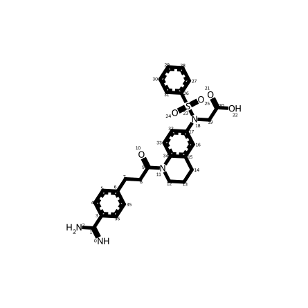 N=C(N)c1ccc(CCC(=O)N2CCCc3cc(N(CC(=O)O)S(=O)(=O)c4ccccc4)ccc32)cc1